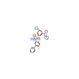 O=C(c1cc(Cl)cc(S(=O)(=O)Nc2cc(-c3ccccc3)c(F)cc2F)c1)N1CCC1